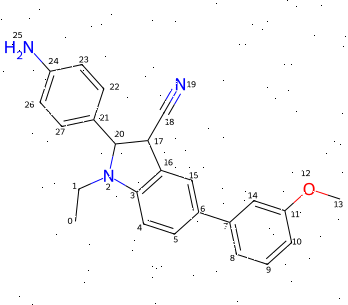 CCN1c2ccc(-c3cccc(OC)c3)cc2C(C#N)C1c1ccc(N)cc1